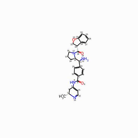 C[C@@H]1CC(NC(=O)c2ccc([C@H](N)[C@H]3CCCN3C(=O)[C@@H]3COc4ccccc43)cc2)=CC=N1